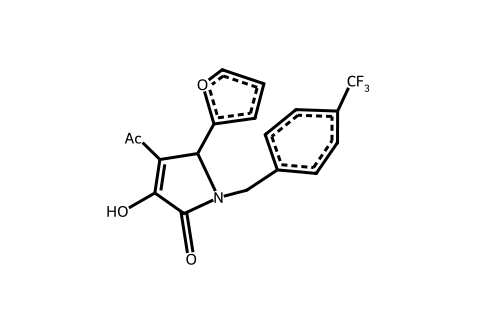 CC(=O)C1=C(O)C(=O)N(Cc2ccc(C(F)(F)F)cc2)C1c1ccco1